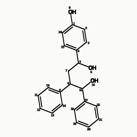 Oc1ccc(C(O)CC(c2ccccc2)C(O)c2ccccc2)cc1